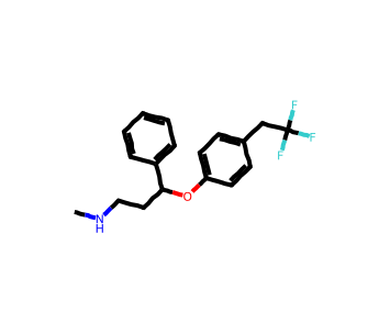 CNCCC(Oc1ccc(CC(F)(F)F)cc1)c1ccccc1